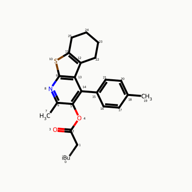 CCC(C)CC(=O)Oc1c(C)nc2sc3c(c2c1-c1ccc(C)cc1)CCCC3